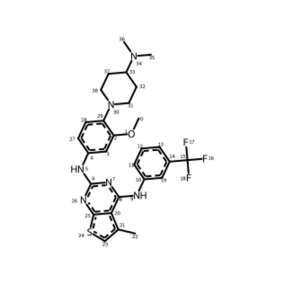 COc1cc(Nc2nc(Nc3cccc(C(F)(F)F)c3)c3c(C)csc3n2)ccc1N1CCC(N(C)C)CC1